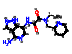 CC[C@@H](C)CN(Cc1ccccn1)C(=O)C(=O)Nc1cnc(N)c2cn[nH]c12